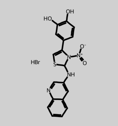 Br.O=[N+]([O-])N1C(c2ccc(O)c(O)c2)=CSC1Nc1cnc2ccccc2c1